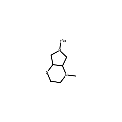 CN1CCSC2CN(C(C)(C)C)CC21